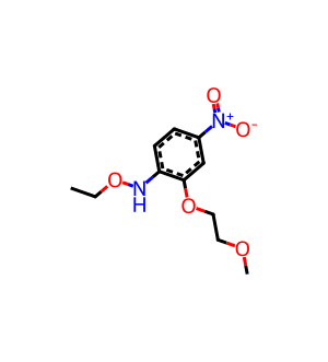 CCONc1ccc([N+](=O)[O-])cc1OCCOC